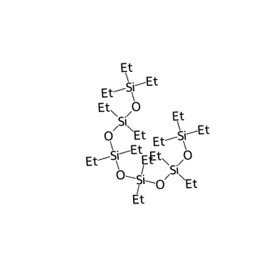 CC[Si](CC)(CC)O[Si](CC)(CC)O[Si](CC)(CC)O[Si](CC)(CC)O[Si](CC)(CC)O[Si](CC)(CC)CC